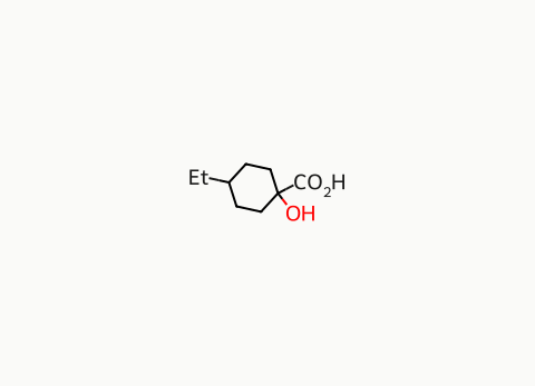 CCC1CCC(O)(C(=O)O)CC1